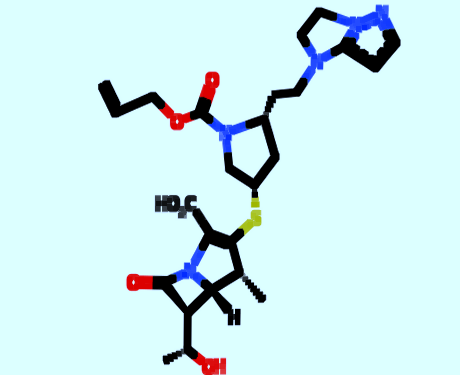 C=CCOC(=O)N1C[C@@H](SC2=C(C(=O)O)N3C(=O)[C@H]([C@@H](C)O)[C@H]3[C@H]2C)C[C@H]1CCN1CCn2nccc21